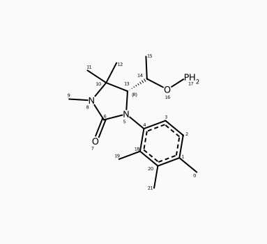 Cc1ccc(N2C(=O)N(C)C(C)(C)[C@@H]2C(C)OP)c(C)c1C